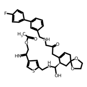 CC(=O)OCC(=N)c1csc(CNC(O)[C@@H]2CC3(CC=C2CC(=O)CNCc2cccc(-c4ccc(F)cc4)c2)OCCO3)c1